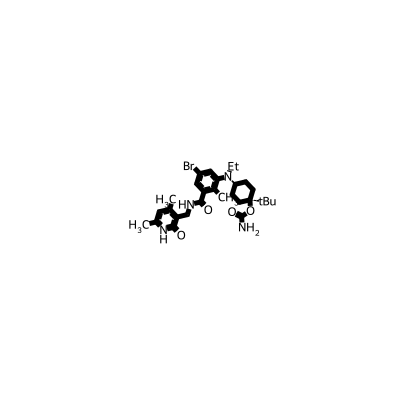 CCN(c1cc(Br)cc(C(=O)NCc2c(C)cc(C)[nH]c2=O)c1C)[C@H]1CC[C@@](OC(N)=O)(C(C)(C)C)CC1